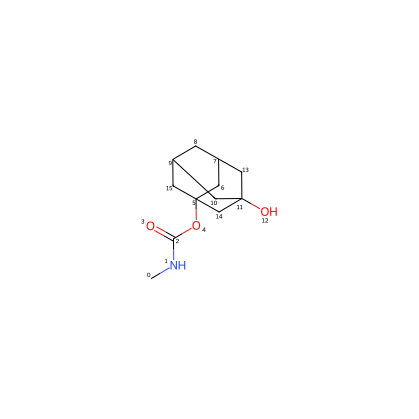 CNC(=O)OC12CC3CC(CC(O)(C3)C1)C2